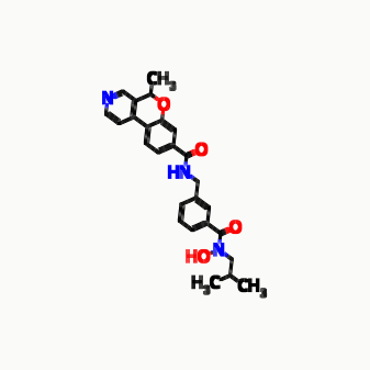 CC(C)CN(O)C(=O)c1cccc(CNC(=O)c2ccc3c(c2)OC(C)c2cnccc2-3)c1